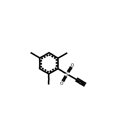 C#CS(=O)(=O)c1c(C)cc(C)cc1C